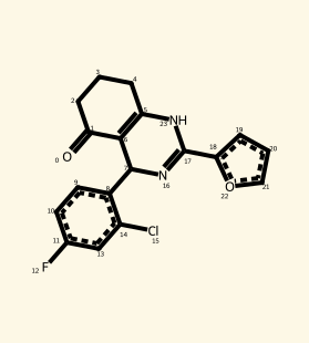 O=C1CCCC2=C1C(c1ccc(F)cc1Cl)N=C(c1ccco1)N2